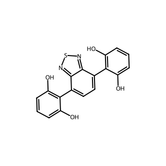 Oc1cccc(O)c1-c1ccc(-c2c(O)cccc2O)c2nsnc12